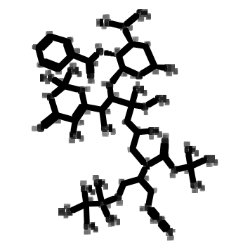 COC(C)(CC(C)CN(C(=O)OC(C)(C)C)C(CN=[N+]=[N-])CO[Si](C)(C)C(C)(C)C)C(O[C@@H]1O[C@H](C)C[C@H](N(C)C)[C@H]1OC(=O)c1ccccc1)C(C)C1=C(C)C(=O)OC(C)(C)O1